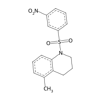 Cc1cccc2c1CCCN2S(=O)(=O)c1cccc([N+](=O)[O-])c1